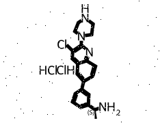 C[C@H](N)c1cccc(-c2ccc3nc(N4CCNCC4)c(Cl)cc3c2)c1.Cl.Cl